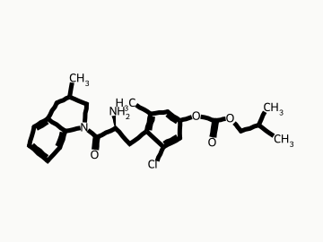 Cc1cc(OC(=O)OCC(C)C)cc(Cl)c1C[C@H](N)C(=O)N1CC(C)Cc2ccccc21